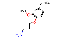 CC(C)(C)Cc1ccc(OCCCN)c(OC(C)(C)C)c1